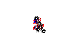 O=C(OCCc1ccccc1)C(CCOS(=O)(=O)c1ccccc1[N+](=O)[O-])OS(=O)(=O)c1ccccc1[N+](=O)[O-]